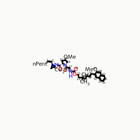 CCCCC/C=C\[C@@H]1C[C@]1(NC(=O)[C@@H]1C[C@H](OC)CN1C(=O)CNC(=O)OCCC(C)(C)CC/C=C/c1cc2ccccc2cc1OC)C(=O)OCC